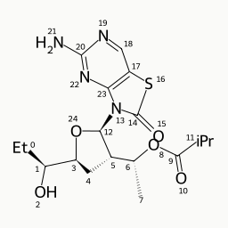 CC[C@H](O)[C@@H]1C[C@@H]([C@@H](C)OC(=O)C(C)C)[C@H](n2c(=O)sc3cnc(N)nc32)O1